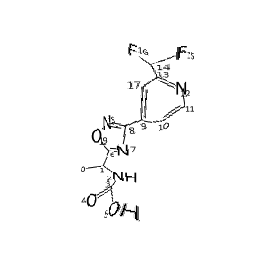 CC(NC(=O)O)c1nc(-c2ccnc(C(F)F)c2)no1